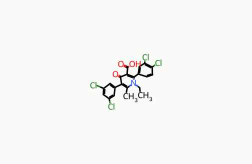 CCn1c(C)c(-c2cc(Cl)cc(Cl)c2)c(=O)c(C(=O)O)c1-c1ccc(Cl)c(Cl)c1